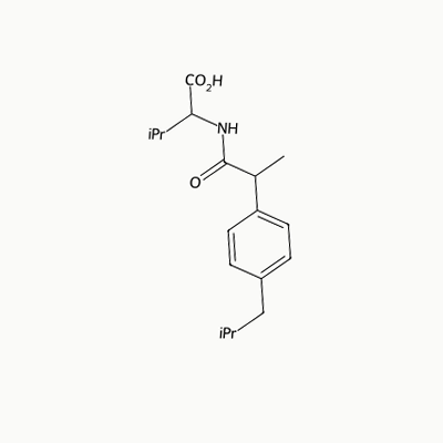 CC(C)Cc1ccc(C(C)C(=O)NC(C(=O)O)C(C)C)cc1